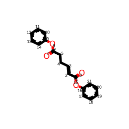 O=C(C=CCCC(=O)Oc1ccccc1)Oc1ccccc1